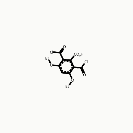 CCOc1cc(OCC)c(C(=O)Cl)c(C(=O)O)c1C(=O)Cl